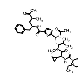 CCN1CCCC[C@@H]1C(=O)N[C@H](C(=O)N(C)[C@H](C[C@@H](OC(C)=O)c1nc(C(=O)N[C@@H](Cc2ccccc2)C[C@H](C)C(=O)O)cs1)C(C)C)C1CC1